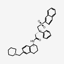 O=C(C[C@H](CS(=O)(=O)c1ccc2ccccc2c1)c1ccccc1)N[C@@H]1CCCc2cc(CN3CCCCC3)ccc21